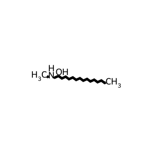 CCCCCCCCCCCCCCC(O)CNCC